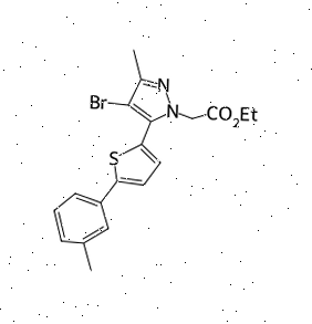 CCOC(=O)Cn1nc(C)c(Br)c1-c1ccc(-c2cccc(C)c2)s1